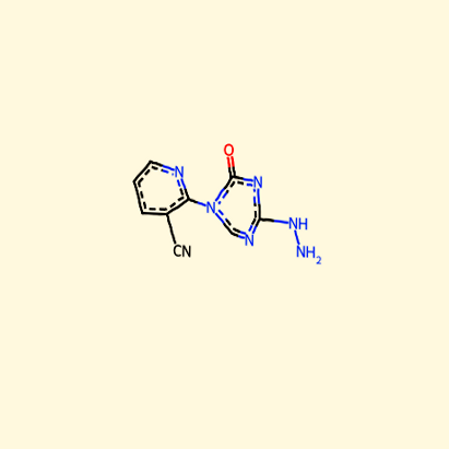 N#Cc1cccnc1-n1cnc(NN)nc1=O